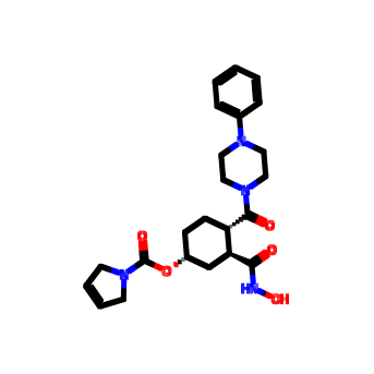 O=C(NO)[C@H]1C[C@H](OC(=O)N2CC=CC2)CC[C@@H]1C(=O)N1CCN(c2ccccc2)CC1